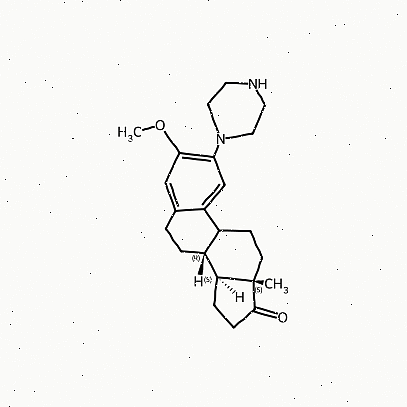 COc1cc2c(cc1N1CCNCC1)C1CC[C@]3(C)C(=O)CC[C@H]3[C@@H]1CC2